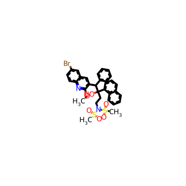 COc1nc2ccc(Br)cc2cc1C(c1ccccc1)C(O)(CCN(S(C)(=O)=O)S(C)(=O)=O)c1cccc2ccccc12